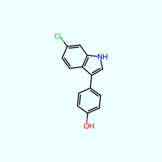 Oc1ccc(-c2c[nH]c3cc(Cl)ccc23)cc1